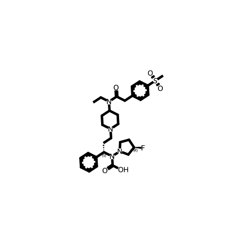 CCN(C(=O)Cc1ccc(S(C)(=O)=O)cc1)C1CCN(CC[C@@H](c2ccccc2)N(C(=O)O)N2CC[C@@H](F)C2)CC1